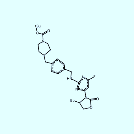 CCC1COC(=O)N1c1cc(F)nc(NCc2ccc(CN3CCN(C(=O)OC(C)(C)C)CC3)cc2)n1